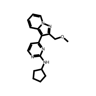 COCc1nn2ccccc2c1-c1ccnc(NC2CCCC2)n1